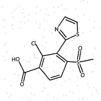 CS(=O)(=O)c1ccc(C(=O)O)c(Cl)c1-c1nccs1